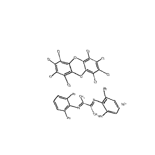 CC(=Nc1c(C(C)C)cccc1C(C)C)C(C)=Nc1c(C(C)C)cccc1C(C)C.[Ni+2].[O-]c1c([O-])c(Cl)c2c(c1Cl)Oc1c(Cl)c(Cl)c(Cl)c(Cl)c1O2